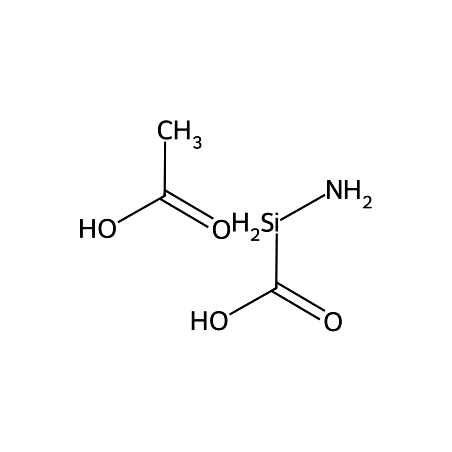 CC(=O)O.N[SiH2]C(=O)O